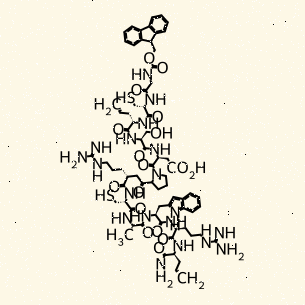 C=CC[C@H](NC(=O)[C@H](CCCNC(=N)N)NC(=O)[C@H](Cc1cc2ccccc2[nH]1)NC(=O)[C@H](C)NC(=O)[C@H](CS)NC(=O)[C@H](CCCNC(=N)N)CC(=O)C1CCCN1C(=O)[C@H](CC(=O)O)NC(=O)[C@H](CO)NC(=O)[C@H](CC=C)NC(=O)[C@H](CS)NC(=O)CNC(=O)OCC1c2ccccc2-c2ccccc21)C(N)=O